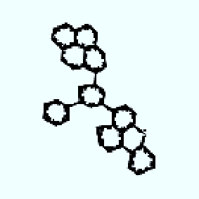 c1ccc(-c2cc(-c3ccc4c5c(cccc35)-c3ccccc3S4)cc(-c3ccc4ccc5cccc6ccc3c4c56)c2)cc1